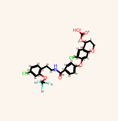 O=C(O)OC1CCOc2cc(Oc3ccc(C(=O)NCCc4ccc(Cl)cc4OC(F)(F)F)cc3)c(Cl)cc21